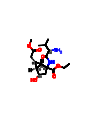 CCOC(=O)[C@]1(NC(=O)[C@@H](N)C(C)C)C[C@H](O)[C@H]2[C@H](CC(=O)OC)[C@H]21